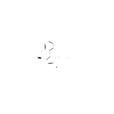 CCOCn1c(-c2ccccc2Cl)c(C#N)c(Br)c1C(F)(F)F